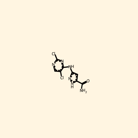 NC(=O)c1cc(Nc2nc(Cl)ncc2Cl)n[nH]1